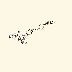 CCOC(F)(F)c1cc(N2CCN(CCC3CCC(NC(C)=O)CC3)CC2)nc(C(C)(C)C)n1